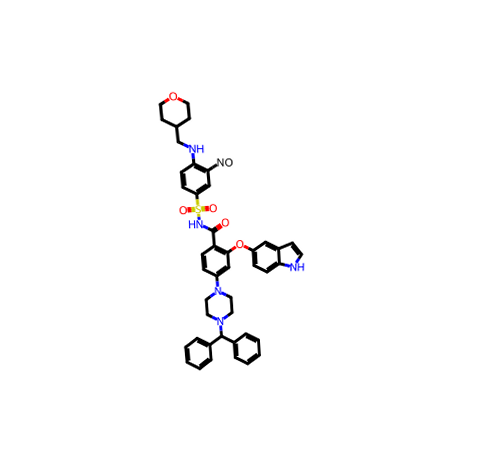 O=Nc1cc(S(=O)(=O)NC(=O)c2ccc(N3CCN(C(c4ccccc4)c4ccccc4)CC3)cc2Oc2ccc3[nH]ccc3c2)ccc1NCC1CCOCC1